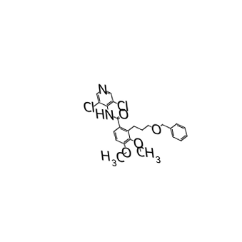 COc1ccc(C(=O)Nc2c(Cl)cncc2Cl)c(CCCOCc2ccccc2)c1OC